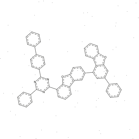 c1ccc(-c2ccc(-c3nc(-c4ccccc4)nc(-c4cccc5c4oc4ccc(-c6cc(-c7ccccc7)cc7oc8ccccc8c67)cc45)n3)cc2)cc1